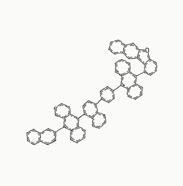 c1ccc2cc(-c3c4ccccc4c(-c4ccc(-c5ccc(-c6c7ccccc7c(-c7cccc8oc9cc%10ccccc%10cc9c78)c7ccccc67)cc5)c5ccccc45)c4ccccc34)ccc2c1